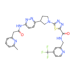 Cc1cccc(CC(=O)Nc2ccc(C3CCN(c4nnc(C(=O)NCc5cc(C(F)(F)F)ccn5)s4)C3)nn2)n1